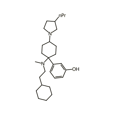 CCCC1CCN(C2CCC(c3cccc(O)c3)(N(C)CCC3CCCCC3)CC2)C1